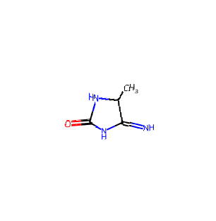 CC1NC(=O)NC1=N